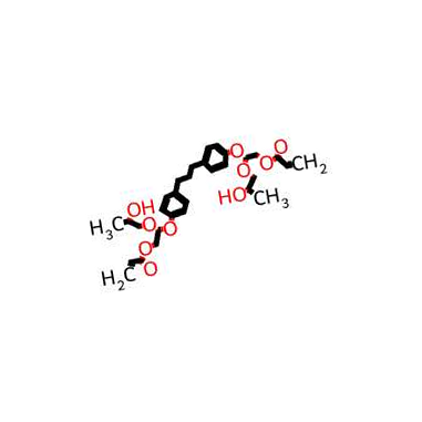 C=CC(=O)OCC(OCC(C)O)Oc1ccc(CCCc2ccc(OC(COC(=O)C=C)OCC(C)O)cc2)cc1